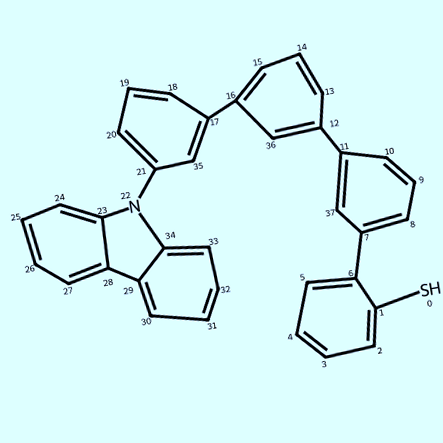 Sc1ccccc1-c1cccc(-c2cccc(-c3cccc(-n4c5ccccc5c5ccccc54)c3)c2)c1